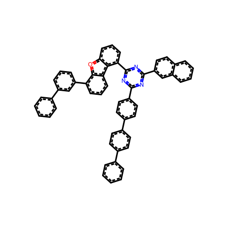 c1ccc(-c2ccc(-c3ccc(-c4nc(-c5ccc6ccccc6c5)nc(-c5cccc6oc7c(-c8cccc(-c9ccccc9)c8)cccc7c56)n4)cc3)cc2)cc1